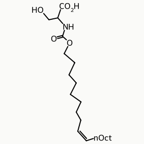 CCCCCCCC/C=C\CCCCCCCCOC(=O)NC(CO)C(=O)O